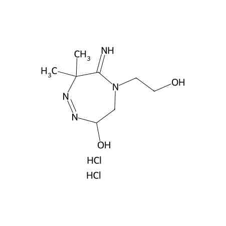 CC1(C)N=NC(O)CN(CCO)C1=N.Cl.Cl